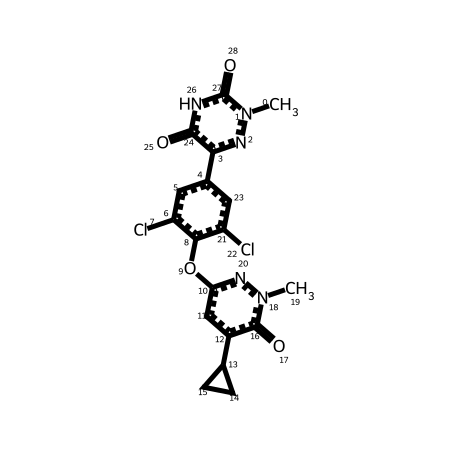 Cn1nc(-c2cc(Cl)c(Oc3cc(C4CC4)c(=O)n(C)n3)c(Cl)c2)c(=O)[nH]c1=O